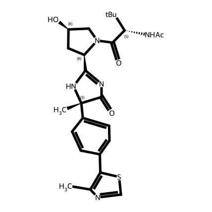 CC(=O)N[C@H](C(=O)N1C[C@H](O)C[C@@H]1C1=NC(=O)[C@](C)(c2ccc(-c3scnc3C)cc2)N1)C(C)(C)C